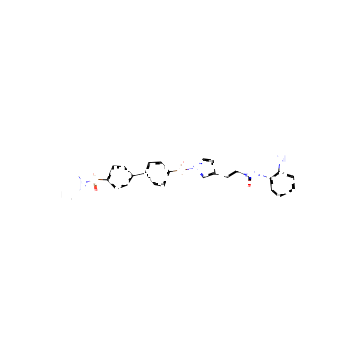 CN(C)S(=O)(=O)c1ccc(-c2ccc(S(=O)(=O)n3ccc(/C=C/C(=O)Nc4ccccc4N)c3)cc2)cc1